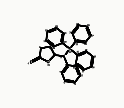 O=C1CCC(N(c2ccccc2)[Si](c2ccccc2)(c2ccccc2)c2ccccc2)O1